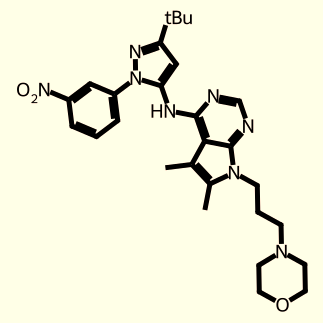 Cc1c(C)n(CCCN2CCOCC2)c2ncnc(Nc3cc(C(C)(C)C)nn3-c3cccc([N+](=O)[O-])c3)c12